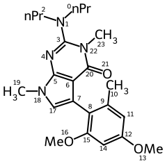 CCCN(CCC)c1nc2c(c(-c3c(C)cc(OC)cc3OC)cn2C)c(=O)n1C